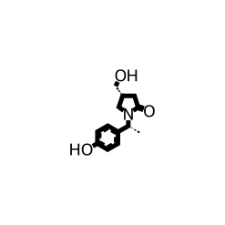 C[C@H](c1ccc(O)cc1)N1C[C@H](CO)CC1=O